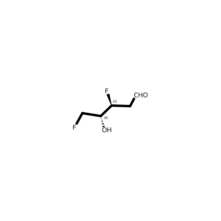 O=CC[C@H](F)[C@H](O)CF